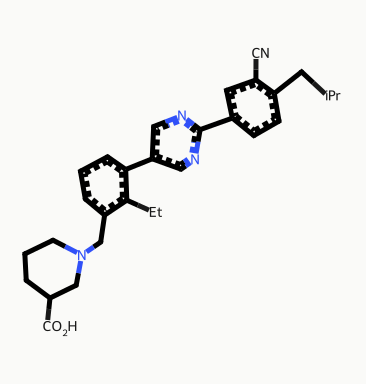 CCc1c(CN2CCCC(C(=O)O)C2)cccc1-c1cnc(-c2ccc(CC(C)C)c(C#N)c2)nc1